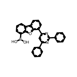 OB(O)c1cccc2c1oc1c(-c3cc(-c4ccccc4)nc(-c4ccccc4)n3)cccc12